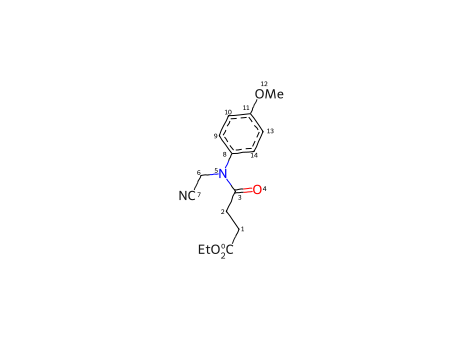 CCOC(=O)CCC(=O)N(CC#N)c1ccc(OC)cc1